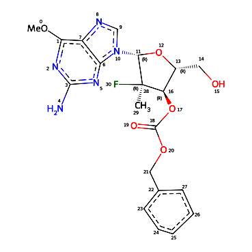 COc1nc(N)nc2c1ncn2[C@@H]1O[C@H](CO)[C@@H](OC(=O)OCc2ccccc2)[C@@]1(C)F